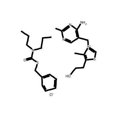 CCCN(CCC)C(=O)SCc1ccccc1.Cc1ncc(C[n+]2csc(CCO)c2C)c(N)n1.[Cl-]